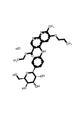 CCCOc1cc2c(Nc3ccc([C@@H]4O[C@H](CO)[C@H](O)[C@H](O)[C@H]4O)cc3)c(C(=O)OCC)cnc2nc1C.Cl